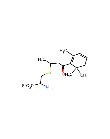 CCOC(=O)C(N)CSC(C)CC(=O)C1=C(C)C=CCC1(C)C